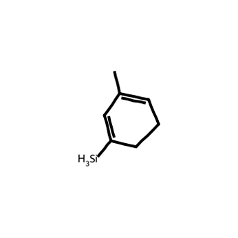 CC1=CCCC([SiH3])=C1